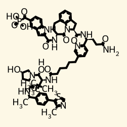 Cc1ncsc1-c1ccc([C@H](C)NC(=O)[C@@H]2C[C@@H](O)CN2C(O)[C@@H](NC(=O)CCCCCc2ccc([C@H](CCC(N)=O)NC(=O)[C@@H]3Cc4cccc5c4N3C(=O)[C@@H](NC(=O)c3cc4cc(C(=O)P(=O)(O)O)ccc4[nH]3)CC5)nc2)C(C)(C)C)cc1